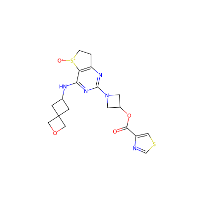 O=C(OC1CN(c2nc3c(c(NC4CC5(COC5)C4)n2)[S+]([O-])CC3)C1)c1cscn1